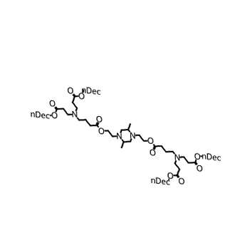 CCCCCCCCCCOC(=O)CCN(CCCC(=O)OCCN1CC(C)N(CCOC(=O)CCCN(CCC(=O)OCCCCCCCCCC)CCC(=O)OCCCCCCCCCC)CC1C)CCC(=O)OCCCCCCCCCC